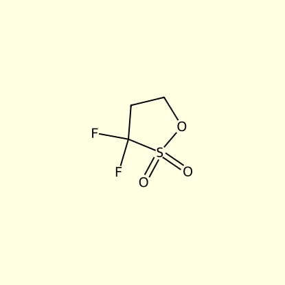 O=S1(=O)OCCC1(F)F